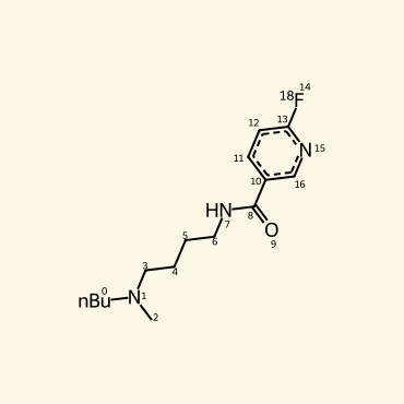 CCCCN(C)CCCCNC(=O)c1ccc([18F])nc1